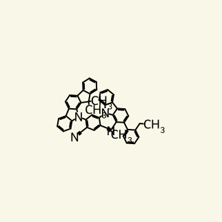 CCc1ccccc1-c1ccc2c3ccccc3n(-c3cc(-n4c5ccccc5c5ccc6c(c54)C(C)(C)c4ccccc4-6)c(C#N)cc3C#N)c2c1CC